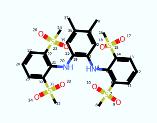 Cc1cc(Nc2c(S(C)(=O)=O)cccc2S(C)(=O)=O)c(Nc2c(S(C)(=O)=O)cccc2S(C)(=O)=O)cc1C